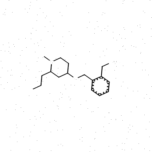 COCc1ccccc1COC1CCN(C)C(CCI)C1